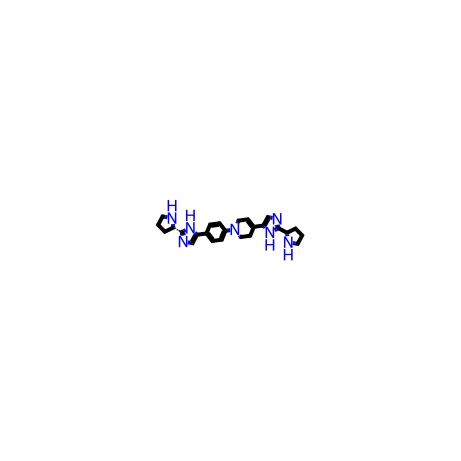 C1=C(c2cnc(C3CCCN3)[nH]2)CCN(c2ccc(-c3cnc([C@@H]4CCCN4)[nH]3)cc2)C1